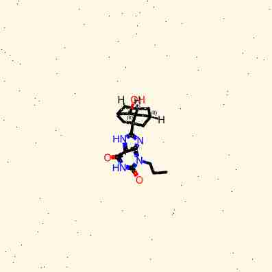 CCCn1c(=O)[nH]c(=O)c2[nH]c(C34CC5C[C@H]3C[C@H](C4)[C@@H]5O)nc21